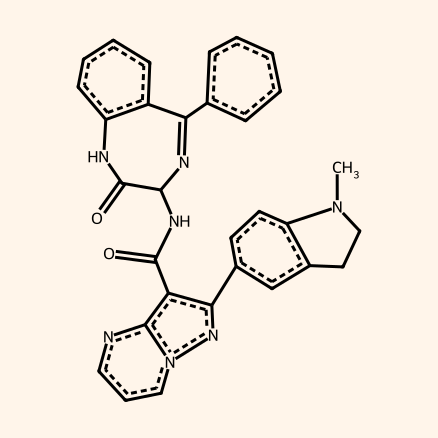 CN1CCc2cc(-c3nn4cccnc4c3C(=O)NC3N=C(c4ccccc4)c4ccccc4NC3=O)ccc21